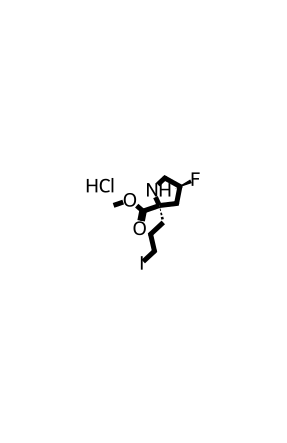 COC(=O)[C@]1(CCCI)C[C@H](F)CN1.Cl